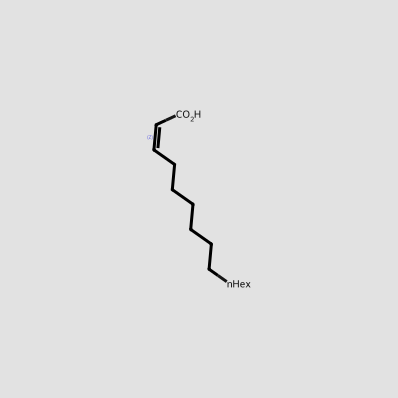 CCCCCCCCCCCC/C=C\C(=O)O